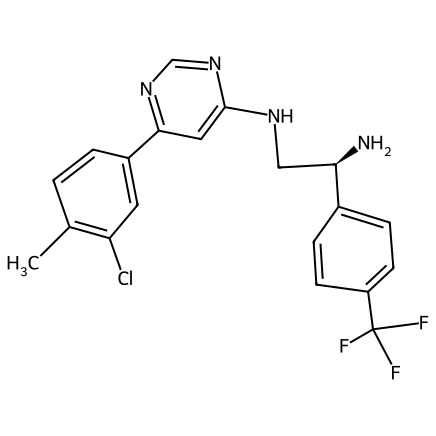 Cc1ccc(-c2cc(NC[C@@H](N)c3ccc(C(F)(F)F)cc3)ncn2)cc1Cl